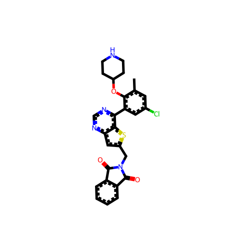 Cc1cc(Cl)cc(-c2ncnc3cc(CN4C(=O)c5ccccc5C4=O)sc23)c1OC1CCNCC1